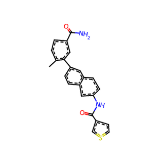 Cc1ccc(C(N)=O)cc1-c1ccc2cc(NC(=O)c3ccsc3)ccc2c1